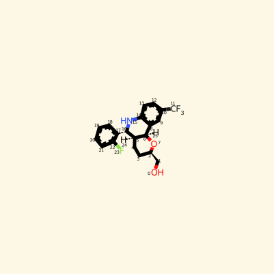 OC[C@H]1CC[C@@H]2[C@H](O1)c1cc(C(F)(F)F)ccc1N[C@H]2c1ccccc1F